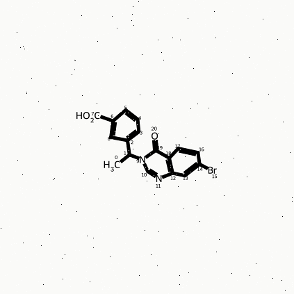 CC(c1cccc(C(=O)O)c1)n1cnc2cc(Br)ccc2c1=O